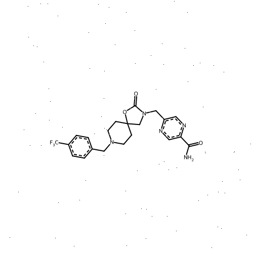 NC(=O)c1cnc(CN2CC3(CCN(Cc4ccc(C(F)(F)F)cc4)CC3)OC2=O)cn1